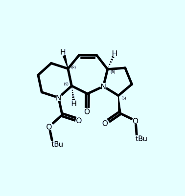 CC(C)(C)OC(=O)[C@@H]1CC[C@@H]2C=C[C@H]3CCCN(C(=O)OC(C)(C)C)[C@@H]3C(=O)N21